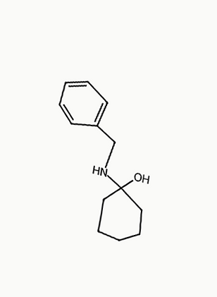 OC1(NCc2ccccc2)CCCCC1